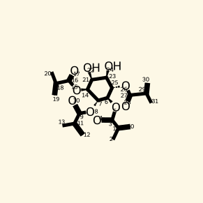 C=C(C)C(=O)O[C@H]1[C@H](OC(=O)C(=C)C)[C@@H](OC(=O)C(=C)C)[C@@H](O)[C@@H](O)[C@@H]1OC(=O)C(=C)C